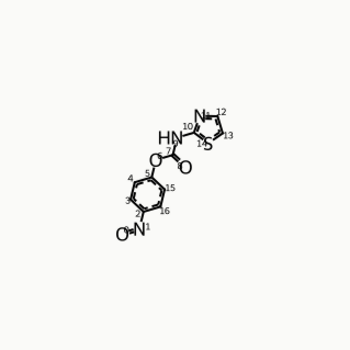 O=Nc1ccc(OC(=O)Nc2nccs2)cc1